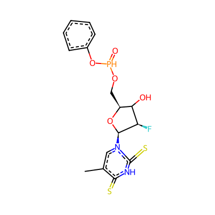 Cc1cn([C@H]2O[C@@H](CO[PH](=O)Oc3ccccc3)C(O)[C@H]2F)c(=S)[nH]c1=S